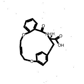 O=C1N[C@H](C(=O)O)Cc2ccc(cc2)OCC=CCOc2ccccc21